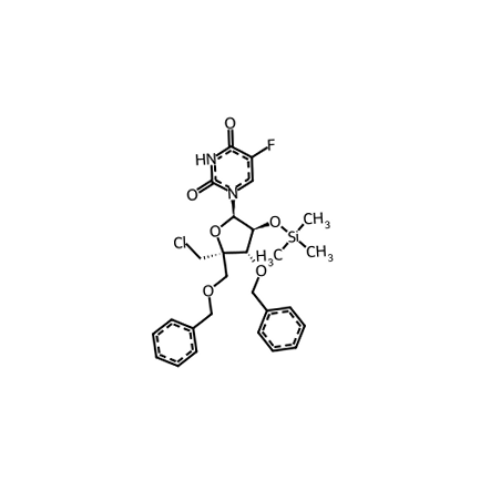 C[Si](C)(C)O[C@@H]1[C@H](n2cc(F)c(=O)[nH]c2=O)O[C@](CCl)(COCc2ccccc2)[C@H]1OCc1ccccc1